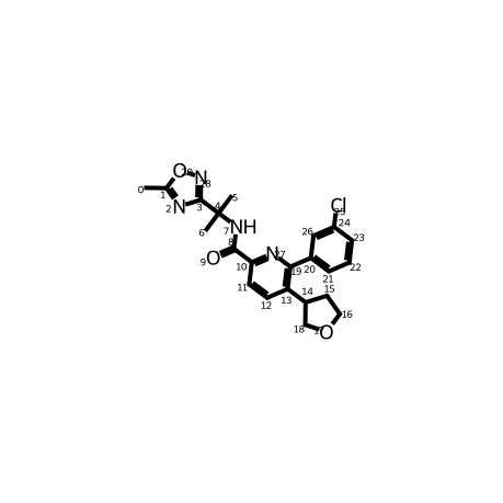 Cc1nc(C(C)(C)NC(=O)c2ccc(C3CCOC3)c(-c3cccc(Cl)c3)n2)no1